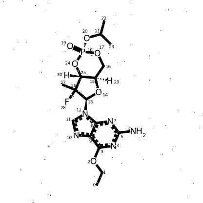 CCOc1nc(N)nc2c1ncn2[C@@H]1O[C@@H]2CO[P@@](=O)(OC(C)C)O[C@H]2C1(C)F